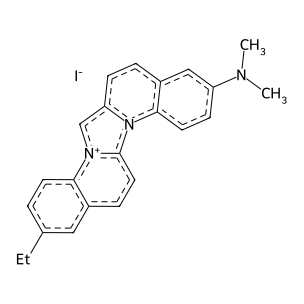 CCc1ccc2c(ccc3n4c(ccc5cc(N(C)C)ccc54)c[n+]23)c1.[I-]